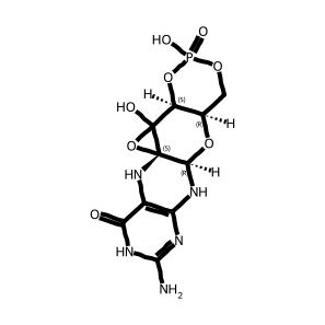 Nc1nc2c(c(=O)[nH]1)N[C@@]13OC1(O)[C@H]1OP(=O)(O)OC[C@H]1O[C@H]3N2